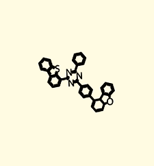 C1=CC2Oc3ccccc3C2C(c2ccc(-c3nc(-c4ccccc4)nc(-c4cccc5c4sc4ccccc45)n3)cc2)=C1